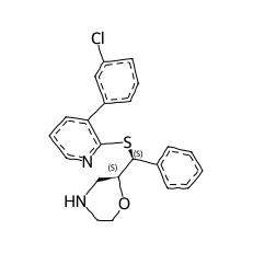 Clc1cccc(-c2cccnc2S[C@@H](c2ccccc2)[C@@H]2CNCCO2)c1